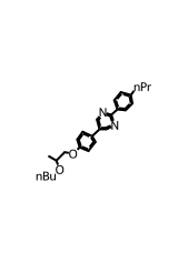 CCCCOC(C)COc1ccc(-c2cnc(-c3ccc(CCC)cc3)nc2)cc1